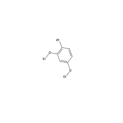 [CH2]C(C)c1ccc(OCC)cc1OCC